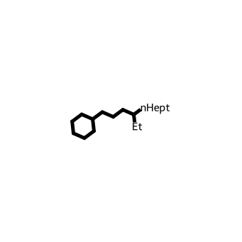 CCCCCCCC(CC)CCCC1CCCCC1